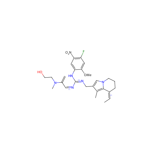 C=C(/C=N\C(=N/Cc1cn2c(c1C)/C(=C\C)CCC2)Nc1cc([N+](=O)[O-])c(F)cc1OC)N(C)CCO